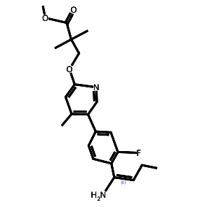 CC/C=C(/N)c1ccc(-c2cnc(OCC(C)(C)C(=O)OC)cc2C)cc1F